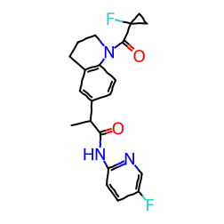 CC(C(=O)Nc1ccc(F)cn1)c1ccc2c(c1)CCCN2C(=O)C1(F)CC1